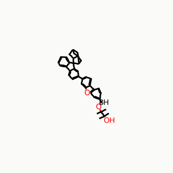 CC(C)(O)C(C)(C)OBc1ccc2c(c1)oc1cc(-c3ccc4c(c3)C3(c5ccccc5-4)C4CC5CC(C4)C3C5)ccc12